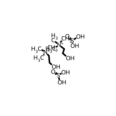 C[N+](C)(C)CCO.C[N+](C)(C)CCO.O=S(O)O.O=S(O)O